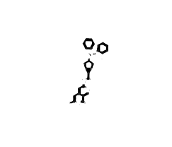 CC(C)(C)[Si](OC1CC2C(C1)C2C(=O)Nc1cc2cc(Cl)nc(Cl)c2cn1)(c1ccccc1)c1ccccc1